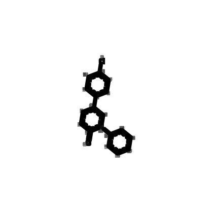 O=c1ccc(-c2ccc(Cl)cc2)cn1-c1ccccc1